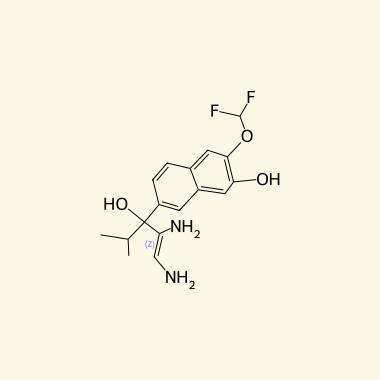 CC(C)C(O)(/C(N)=C/N)c1ccc2cc(OC(F)F)c(O)cc2c1